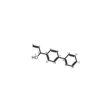 C=CC(O)c1ccc(-c2ccccc2)cc1